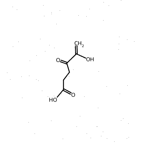 C=C(O)C(=O)CCC(=O)O